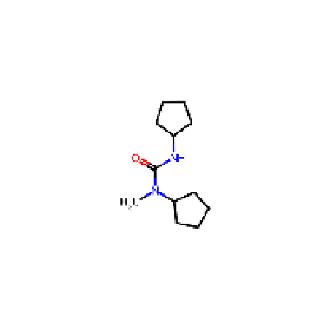 CN(C(=O)NC1CCCC1)C1CCCC1